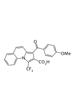 COc1ccc(C(=O)c2c(C(=O)O)c(C(F)(F)F)n3c2ccc2ccccc23)cc1